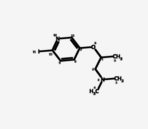 CC(CN(C)C)Oc1ccc(I)nc1